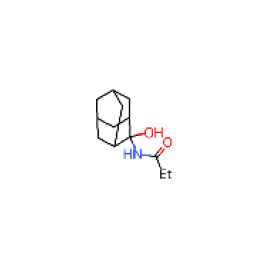 CCC(=O)NC1(O)C2CC3CC(C2)CC1C3